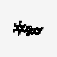 O=[N+]([O-])C(=Cc1c(F)c(F)c(F)c(F)c1F)S(=O)(=O)Cc1ccc(F)cc1